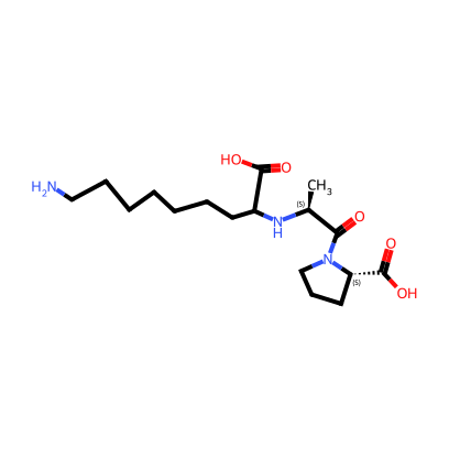 C[C@H](NC(CCCCCCCN)C(=O)O)C(=O)N1CCC[C@H]1C(=O)O